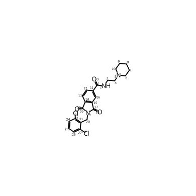 O=C(NCCN1CCCCC1)c1ccc2c(c1)C(=O)N(Cc1c(Cl)cccc1Cl)C2=O